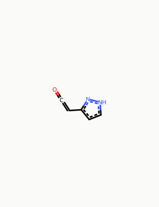 O=C=Cc1cc[nH]n1